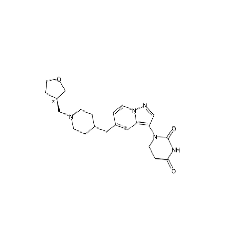 O=C1CCN(c2cnn3ccc(CC4CCN(C[C@H]5CCOC5)CC4)cc23)C(=O)N1